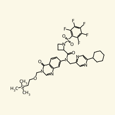 C[Si](C)(C)CCOCn1cnc2cc(N(Cc3cnc(C4CCCCC4)cn3)C(=O)C3CCN3S(=O)(=O)c3c(F)c(F)c(F)c(F)c3F)ccc2c1=O